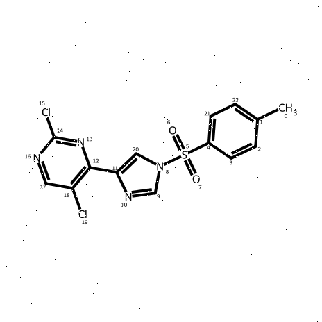 Cc1ccc(S(=O)(=O)n2cnc(-c3nc(Cl)ncc3Cl)c2)cc1